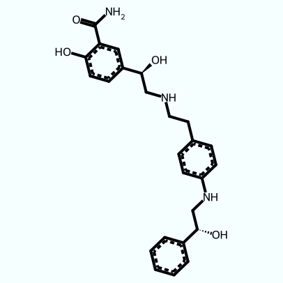 NC(=O)c1cc([C@@H](O)CNCCc2ccc(NC[C@H](O)c3ccccc3)cc2)ccc1O